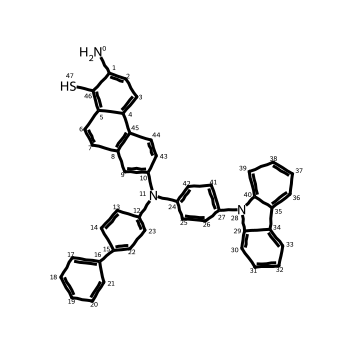 Nc1ccc2c(ccc3cc(N(c4ccc(-c5ccccc5)cc4)c4ccc(-n5c6ccccc6c6ccccc65)cc4)ccc32)c1S